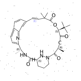 C[C@@H]1CC(=O)[C@H](C(C)(C)C)OC(=O)C(C)(C)/C=C/c2ccc3ccc(nc3c2)[C@@H](C)NC(=O)[C@@H]2CCCN(N2)C1=O